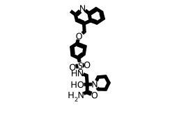 Cc1cc(COc2ccc(S(=O)(=O)NCC(O)(C(N)=O)N3CCCCC3)cc2)c2ccccc2n1